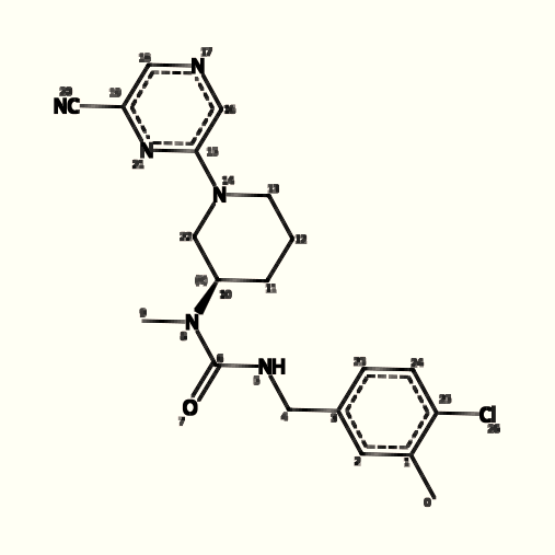 Cc1cc(CNC(=O)N(C)[C@@H]2CCCN(c3cncc(C#N)n3)C2)ccc1Cl